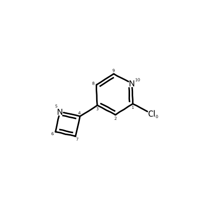 Clc1cc(C2=NC=C2)ccn1